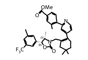 COC(=O)c1ccc(-c2cc(C3=C(CN4C(=O)O[C@H](c5cc(C)cc(C(F)(F)F)c5)[C@@H]4C)CC(C)(C)CC3)ccn2)c(C)c1